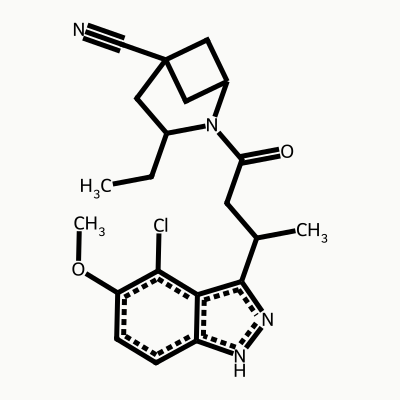 CCC1CC2(C#N)CC(C2)N1C(=O)CC(C)c1n[nH]c2ccc(OC)c(Cl)c12